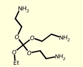 CCOC(OCCN)(OCCN)OCCN